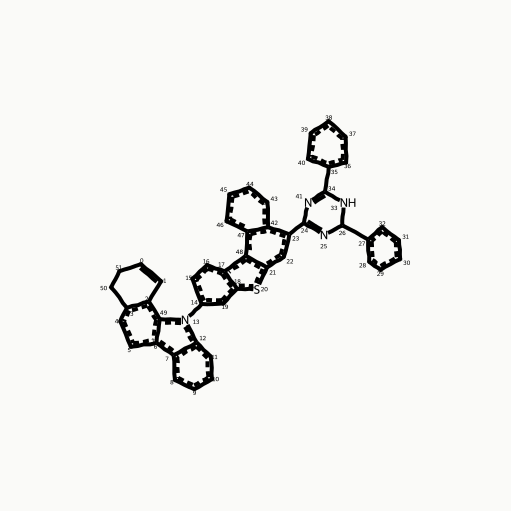 C1=Cc2c(ccc3c4ccccc4n(-c4ccc5c(c4)sc4cc(C6=NC(c7ccccc7)NC(c7ccccc7)=N6)c6ccccc6c45)c23)CC1